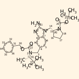 C[C@H](N(Cc1ccc2c(c1)nc(N)n2C[C@H]1CCCN1C(=O)OC(C)(C)C)C(=O)OCc1ccccc1)C(C)(C)C